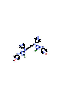 CON1C(C)(C)CC(Nc2nc(Cl)nc(N(CCCCCCN(c3nc(Cl)nc(NC4CC(C)(C)N(OC)C(C)(C)C4)n3)C3CC(C)(C)NC(C)(C)C3)C3CC(C)(C)NC(C)(C)C3)n2)CC1(C)C